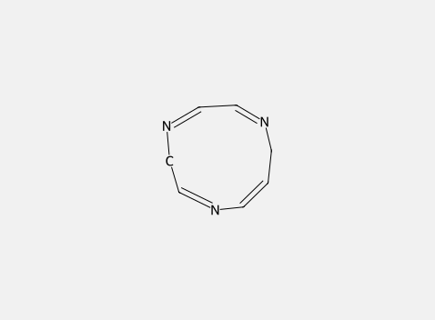 C1=C\N=C/C/N=C\C=N/C/1